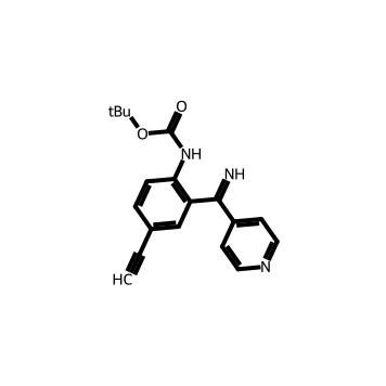 C#Cc1ccc(NC(=O)OC(C)(C)C)c(C(=N)c2ccncc2)c1